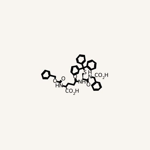 O=C(CC[C@H](NC(=O)OCc1ccccc1)C(=O)O)N[C@@H](CSC(c1ccccc1)(c1ccccc1)c1ccccc1)C(=O)NC(C(=O)O)c1ccccc1